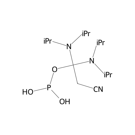 CC(C)N(C(C)C)C(CC#N)(OP(O)O)N(C(C)C)C(C)C